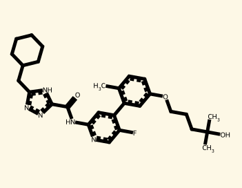 Cc1ccc(OCCCC(C)(C)O)cc1-c1cc(NC(=O)c2nnc(CC3CCCCC3)[nH]2)ncc1F